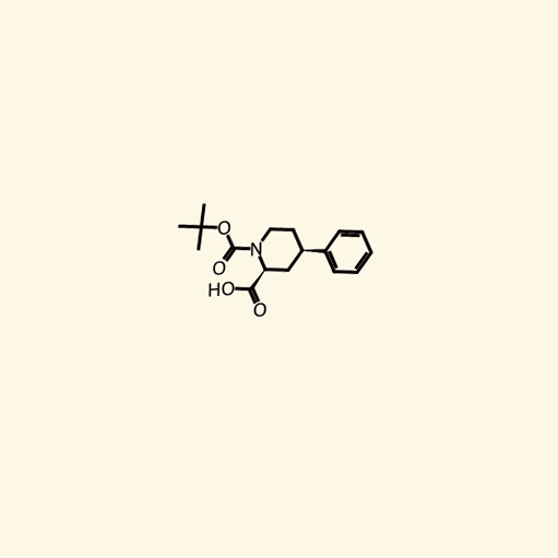 CC(C)(C)OC(=O)N1CC[C@@H](c2ccccc2)C[C@H]1C(=O)O